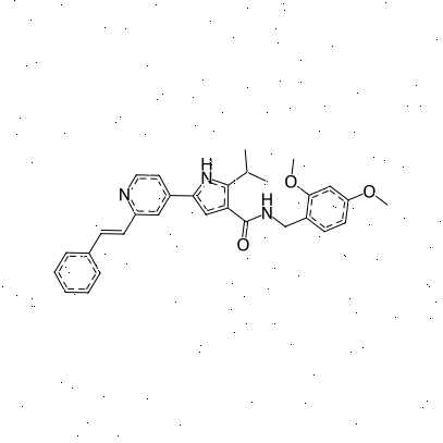 COc1ccc(CNC(=O)c2cc(-c3ccnc(C=Cc4ccccc4)c3)[nH]c2C(C)C)c(OC)c1